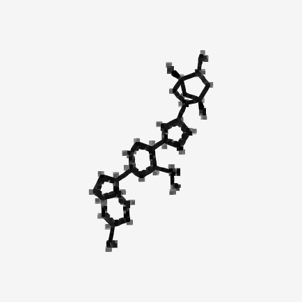 CC(=O)N1C[C@H]2C[C@@H]1CN2c1nnc(-c2cnc(-c3ccc4cc(C#N)cnn34)cc2NC(C)C)s1